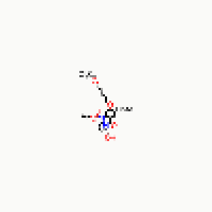 C=CCOC(=O)Nc1cc(OCCCCCCOCC(Cl)(Cl)Cl)c(OC)cc1C(=O)N1CCC[C@H]1CO